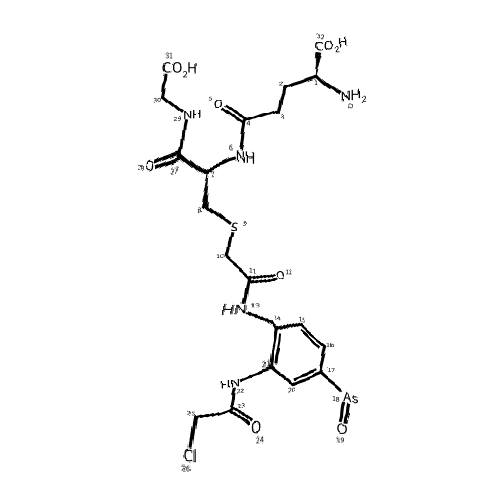 N[C@@H](CCC(=O)N[C@@H](CSCC(=O)Nc1ccc([As]=O)cc1NC(=O)CCl)C(=O)NCC(=O)O)C(=O)O